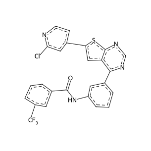 O=C(Nc1cccc(-c2ncnc3sc(-c4ccnc(Cl)c4)cc23)c1)c1cccc(C(F)(F)F)c1